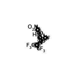 Cc1cc(F)ccc1[C@@H]1C[C@H](NC(=O)c2ccc([N+](=O)[O-])cc2)CCN1C(=O)N(C)Cc1cc(C(F)(F)F)cc(C(F)(F)F)c1